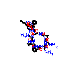 CCCCC[C@@H](O)CC(=O)N[C@H](CC1c2ccccc2NC12CCCCCCCC2)C(=O)N[C@H]1CCNC(=O)[C@H](CC(C)C)NC(=O)[C@H](CCN)NC(=O)[C@H](CCN)NC(=O)[C@H](Cc2ccccc2)NC(=O)[C@@H](CCC(C)C)NC(=O)[C@H](CCN)NC1=O